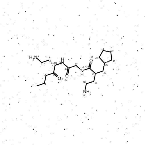 CCCC(=O)[C@H](CCN)NC(=O)CNC(=O)C(CCN)CC1CCCC1